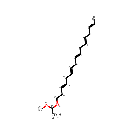 CCC=CCC=CCC=CCC=CCC=CCCOC(OCC)C(=O)O